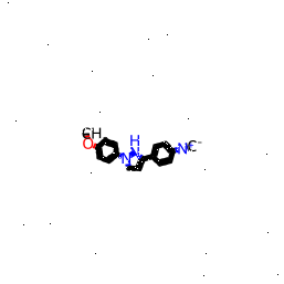 [C-]#[N+]c1ccc(C2=CCN(c3ccc(OC)cc3)N2)cc1